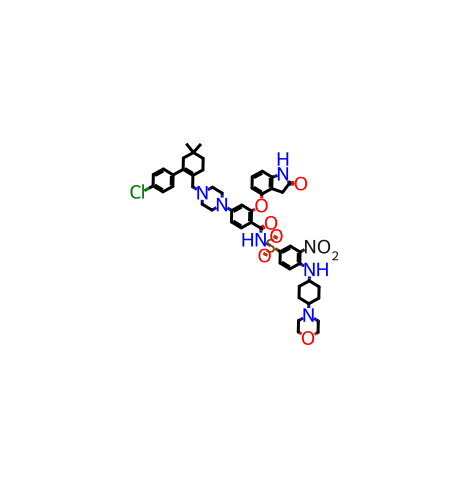 CC1(C)CCC(CN2CCN(c3ccc(C(=O)NS(=O)(=O)c4ccc(NC5CCC(N6CCOCC6)CC5)c([N+](=O)[O-])c4)c(Oc4cccc5c4CC(=O)N5)c3)CC2)=C(c2ccc(Cl)cc2)C1